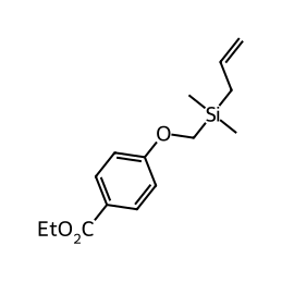 C=CC[Si](C)(C)COc1ccc(C(=O)OCC)cc1